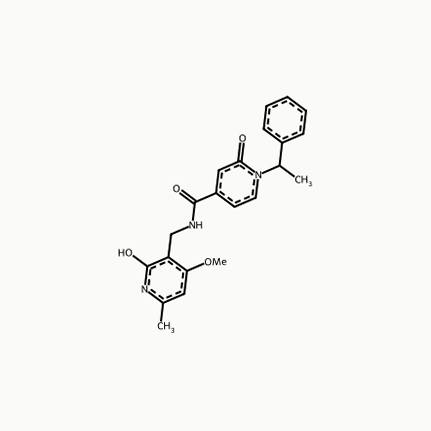 COc1cc(C)nc(O)c1CNC(=O)c1ccn(C(C)c2ccccc2)c(=O)c1